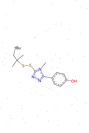 Cn1c(SSC(C)(C)CC(C)(C)C)nnc1-c1ccc(O)cc1